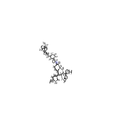 COCC1=C(C(=O)O)Cc2c/c(=C/Oc3cccc(C=NO[C@H]4COC(C)(C)O4)c3)ccc2=C1c1ccc(F)cc1